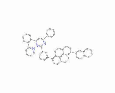 c1ccc(-c2cc(-c3ccccc3-c3ccccn3)nc(-c3cccc(-c4ccc5ccc6c(-c7ccc8ccccc8c7)ccc7ccc4c5c76)c3)n2)cc1